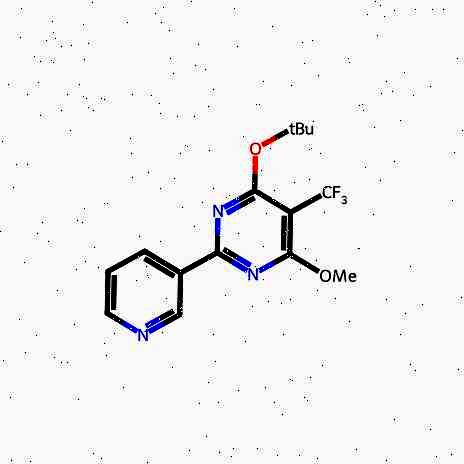 COc1nc(-c2cccnc2)nc(OC(C)(C)C)c1C(F)(F)F